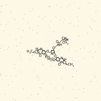 C/C=C1\C[C@H]2C=Nc3cc(OCc4cc(OCCNC(=O)CCC(C)(C)S)cc(COc5cc6c(cc5OC)C(=O)N5C/C(=C/C)C[C@H]5C=N6)n4)c(OC)cc3C(=O)N2C1